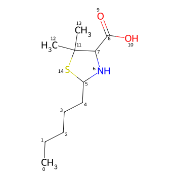 CCCCCC1NC(C(=O)O)C(C)(C)S1